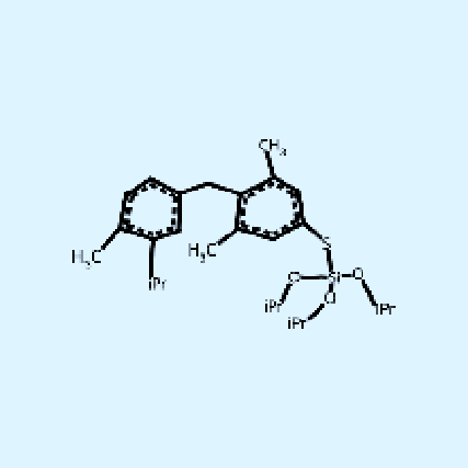 Cc1ccc(Cc2c(C)cc(S[Si](OC(C)C)(OC(C)C)OC(C)C)cc2C)cc1C(C)C